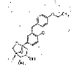 CCOc1ccc(Cc2cc([C@]34C[C@@H](O)[C@H](O)[C@](C)(CO3)O4)ccc2Cl)cc1